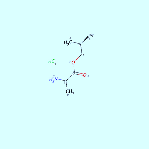 CC(N)C(=O)OC[C@@H](C)C(C)C.Cl